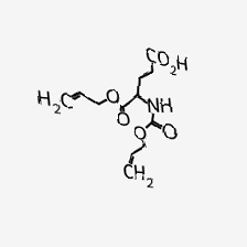 C=CCOC(=O)NC(CCC(=O)O)C(=O)OCC=C